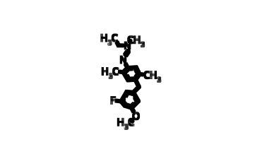 CCN(C)C=Nc1cc(C)c(Cc2cc(F)cc(OC)c2)cc1C